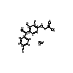 Cc1c(OCC(=O)[O-])ccc(C(=O)c2ccc(F)cc2)c1C.[Na+]